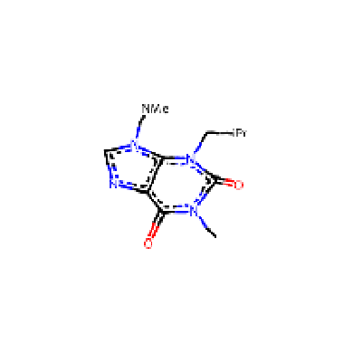 CNn1cnc2c(=O)n(C)c(=O)n(CC(C)C)c21